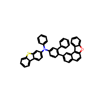 c1ccc(-c2cc(N(c3ccccc3)c3ccc4c(c3)sc3ccccc34)ccc2-c2ccc3ccc4oc5ccccc5c4c3c2)cc1